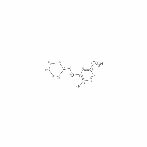 O=C(O)c1ccc(F)c(OCC2CCCCC2)c1